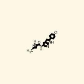 Cc1cc(C(=O)Nc2cnc3[nH]c(-c4ccc(Cl)cc4)cc3c2)[nH]n1